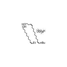 CC(=O)O.CC(=O)O.CC/C=C\CCCCCCCCO.CCCC/C=C\CCCCCCCC/C=C\CCO